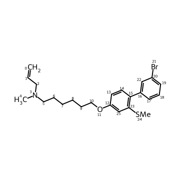 C=CCN(C)CCCCCCOc1ccc(-c2[c]ccc(Br)c2)c(SC)c1